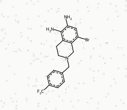 Nc1cc(Br)c2c(c1N)CCN(Cc1ccc(C(F)(F)F)cc1)C2